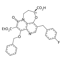 CCOC(=O)c1c(OCc2ccccc2)c2ncc(Cc3ccc(F)cc3)c3c2n(c1=O)CC[C@@H](C(=O)O)O3